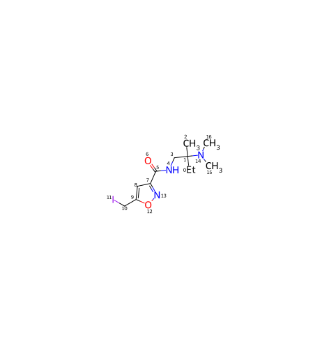 CCC(C)(CNC(=O)c1cc(CI)on1)N(C)C